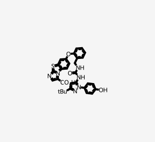 CC(C)(C)c1cc(NC(=O)NCc2ccccc2Oc2ccc3c(c2)sc2ncc(C(=O)O)n23)n(-c2ccc(O)cc2)n1